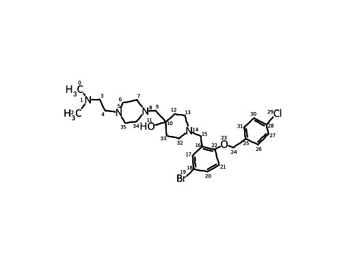 CN(C)CCN1CCN(CC2(O)CCN(Cc3cc(Br)ccc3OCc3ccc(Cl)cc3)CC2)CC1